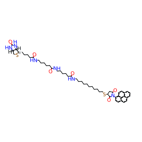 O=C(CCCCCNC(=O)CCCCCNC(=O)CCCC[C@@H]1SC[C@@H]2NC(=O)N[C@@H]21)NCCCCCCCCCCCSC1CC(=O)N(c2ccc3ccc4cccc5ccc2c3c45)C1=O